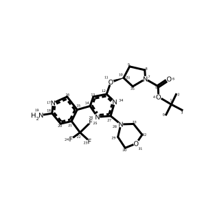 CC(C)(C)OC(=O)N1CC[C@H](Oc2cc(-c3cnc(N)cc3C(F)(F)F)nc(N3CCOCC3)n2)C1